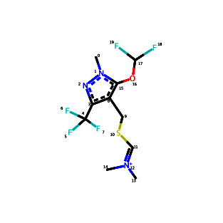 Cn1nc(C(F)(F)F)c(CSC=[N+](C)C)c1OC(F)F